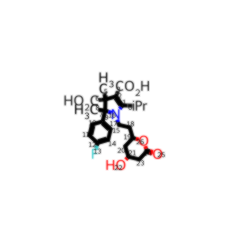 CC(C)C1=C(C(=O)O)C(C)(C(=O)O)C(C)(c2ccc(F)cc2)N1CCC1CC(O)CC(=O)O1